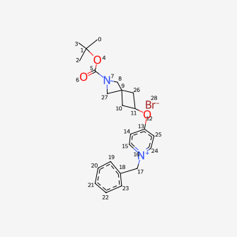 CC(C)(C)OC(=O)N1CC2(CC(Oc3cc[n+](Cc4ccccc4)cc3)C2)C1.[Br-]